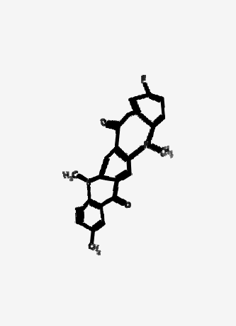 Cc1ccc2c(c1)c(=O)c1cc3c(cc1n2C)c(=O)c1cc(F)ccc1n3C